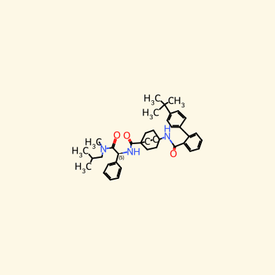 CC(C)CN(C)C(=O)[C@@H](NC(=O)C12CCC(NC(=O)c3ccccc3-c3ccc(C(C)(C)C)cc3)(CC1)CC2)c1ccccc1